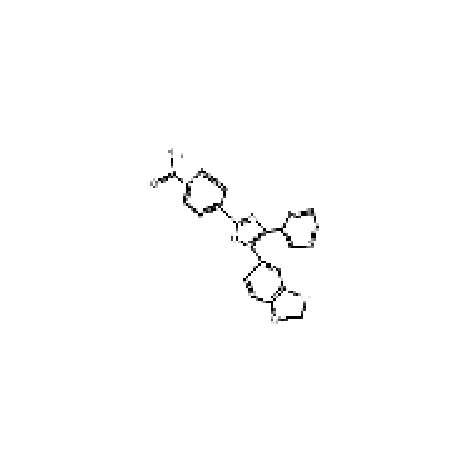 NC(=O)c1ccc(-c2nc(-c3ccccn3)c(-c3ccc4c(c3)OCO4)o2)cc1